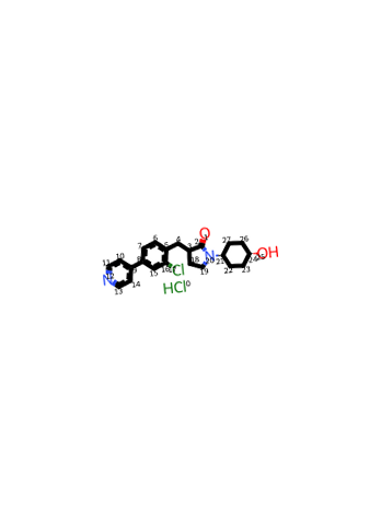 Cl.O=C1C(Cc2ccc(-c3ccncc3)cc2Cl)CCN1[C@H]1CC[C@@H](O)CC1